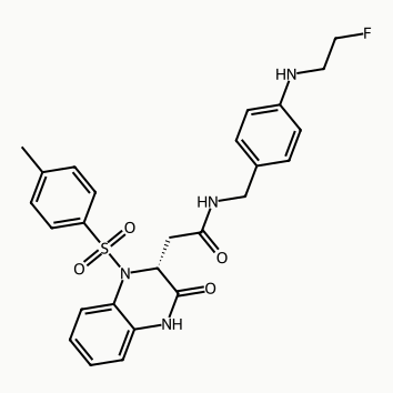 Cc1ccc(S(=O)(=O)N2c3ccccc3NC(=O)[C@H]2CC(=O)NCc2ccc(NCCF)cc2)cc1